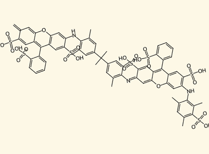 C=c1cc2c(cc1S(=O)(=O)O)=C(c1ccccc1S(=O)(=O)O)c1cc(S(=O)(=O)O)c(Nc3c(C)cc(C(C)(C)c4cc(C)c(N=c5cc6oc7cc(Nc8c(C)cc(C)c(S(=O)(=O)O)c8C)c(S(=O)(=O)O)cc7c(-c7ccccc7S(=O)(=O)O)c-6cc5S(=O)(=O)O)c(C)c4)cc3C)cc1O2